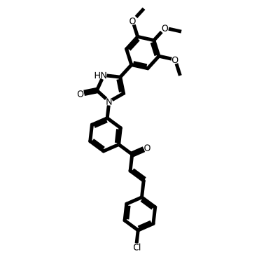 COc1cc(-c2cn(-c3cccc(C(=O)/C=C/c4ccc(Cl)cc4)c3)c(=O)[nH]2)cc(OC)c1OC